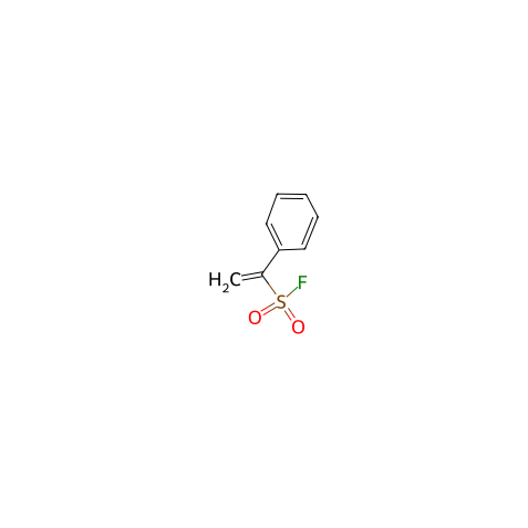 C=C(c1ccccc1)S(=O)(=O)F